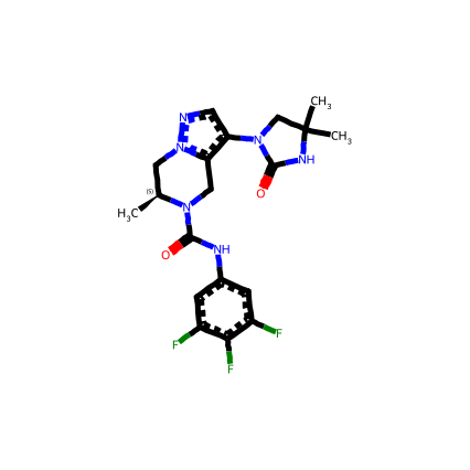 C[C@H]1Cn2ncc(N3CC(C)(C)NC3=O)c2CN1C(=O)Nc1cc(F)c(F)c(F)c1